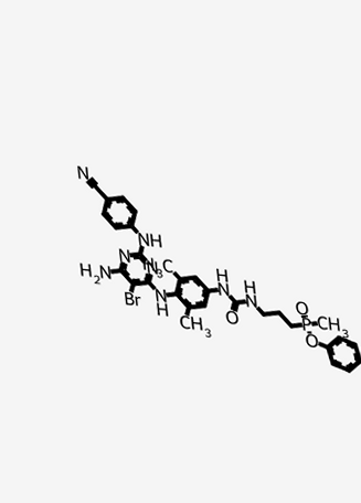 Cc1cc(NC(=O)NCCCP(C)(=O)Oc2ccccc2)cc(C)c1Nc1nc(Nc2ccc(C#N)cc2)nc(N)c1Br